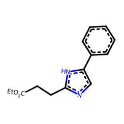 CCOC(=O)CCc1ncc(-c2ccccc2)[nH]1